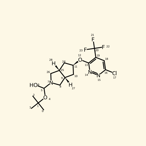 CC(C)(C)OC(O)N1C[C@H]2C[C@H](Oc3nnc(Cl)cc3C(F)(F)F)C[C@H]2C1